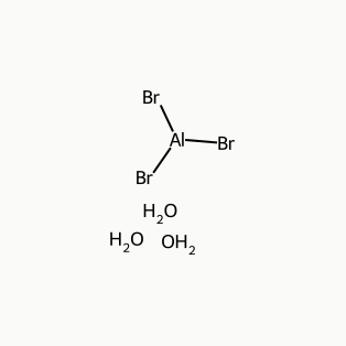 O.O.O.[Br][Al]([Br])[Br]